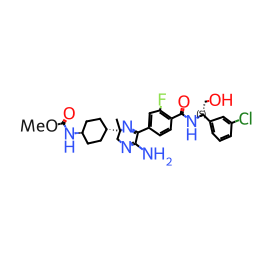 COC(=O)N[C@H]1CC[C@H](C2(C)CN=C(N)C(c3ccc(C(=O)N[C@H](CO)c4cccc(Cl)c4)c(F)c3)=N2)CC1